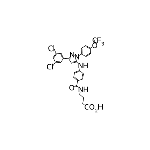 O=C(O)CCCNC(=O)c1ccc(Nc2cc(-c3cc(Cl)cc(Cl)c3)nn2-c2ccc(OC(F)(F)F)cc2)cc1